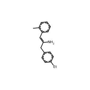 CCc1ccc(C/C(N)=C/c2ccccc2C)cc1